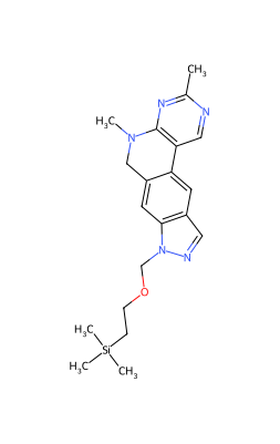 Cc1ncc2c(n1)N(C)Cc1cc3c(cnn3COCC[Si](C)(C)C)cc1-2